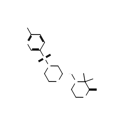 CC1(C)C(=O)NCCN1C[C@H]1CN(S(=O)(=O)c2ccc(Cl)nc2)CCN1